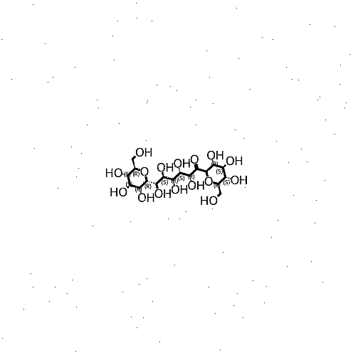 O=C(C1O[C@H](CO)[C@@H](O)[C@H](O)[C@H]1O)[C@H](O)[C@@H](O)[C@H](O)[C@H](O)C(O)[C@H]1O[C@H](CO)[C@@H](O)[C@H](O)[C@H]1O